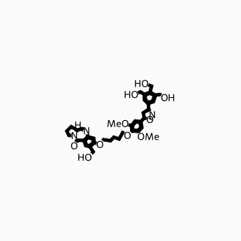 COc1cc(C2CC(c3cc(CO)c(CO)c(CO)c3)=NO2)cc(OC)c1OCCCCCOc1cc2c(cc1CO)C(=O)N1CCC[C@H]1C=N2